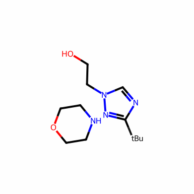 C1COCCN1.CC(C)(C)c1ncn(CCO)n1